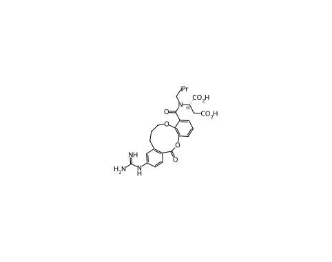 CC(C)CN(C(=O)c1cccc2c1OCCCc1cc(NC(=N)N)ccc1C(=O)O2)[C@@H](CC(=O)O)C(=O)O